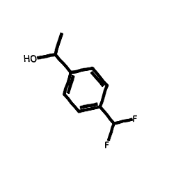 CC(O)c1ccc(C(F)F)cc1